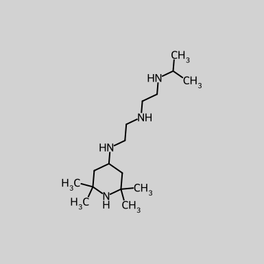 CC(C)NCCNCCNC1CC(C)(C)NC(C)(C)C1